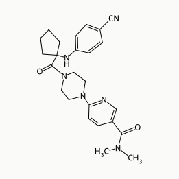 CN(C)C(=O)c1ccc(N2CCN(C(=O)C3(Nc4ccc(C#N)cc4)CCCC3)CC2)nc1